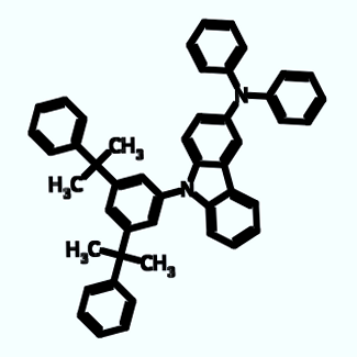 CC(C)(c1ccccc1)c1cc(-n2c3ccccc3c3cc(N(c4ccccc4)c4ccccc4)ccc32)cc(C(C)(C)c2ccccc2)c1